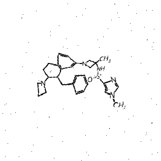 Cn1cnc([S+]([O-])NC2(C)CN(c3ccc4c(c3)C(Cc3ccccc3)C(N3CCC3)CC4)C2)c1